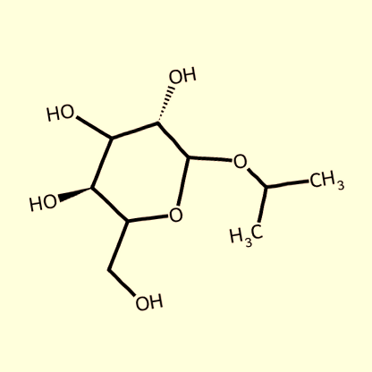 CC(C)OC1OC(CO)[C@@H](O)C(O)[C@@H]1O